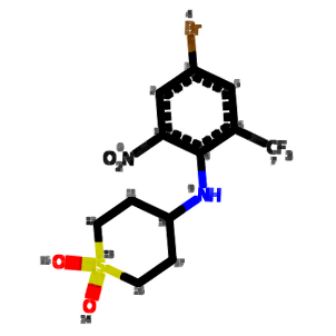 O=[N+]([O-])c1cc(Br)cc(C(F)(F)F)c1NC1CCS(=O)(=O)CC1